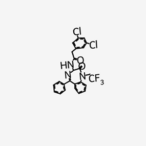 O=C(Cc1cc(Cl)cc(Cl)c1)NC1N=C(c2ccccc2)c2ccccc2N(CC(F)(F)F)C1=O